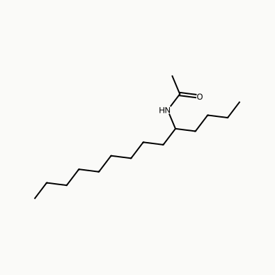 CCCCCCCCCC(CCCC)NC(C)=O